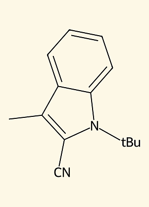 Cc1c(C#N)n(C(C)(C)C)c2ccccc12